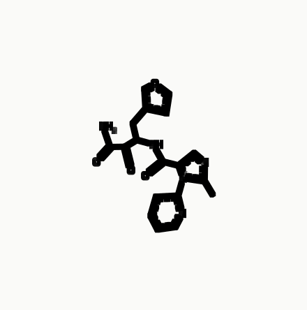 Cc1ncc(C(=O)NC(Cc2ccoc2)C(=O)C(N)=O)n1-c1ccccn1